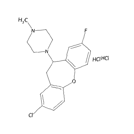 CN1CCN(C2Cc3cc(Cl)ccc3Oc3ccc(F)cc32)CC1.Cl.Cl